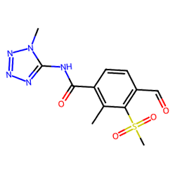 Cc1c(C(=O)Nc2nnnn2C)ccc(C=O)c1S(C)(=O)=O